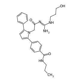 CCCNC(=O)c1ccc(-c2ccc(-c3ccccc3)n2CC(=O)/N=C(\N)NCCCO)cc1